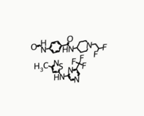 Cc1cc(Nc2cncc(C(F)(F)F)n2)sn1.O=CNc1ccc(C(=O)NC2CCN(CC(F)F)CC2)cc1